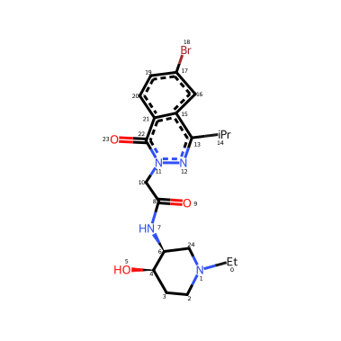 CCN1CC[C@@H](O)[C@@H](NC(=O)Cn2nc(C(C)C)c3cc(Br)ccc3c2=O)C1